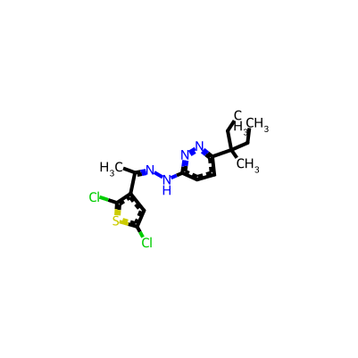 CCC(C)(CC)c1ccc(NN=C(C)c2cc(Cl)sc2Cl)nn1